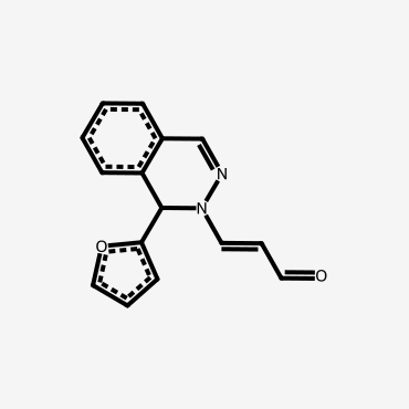 O=CC=CN1N=Cc2ccccc2C1c1ccco1